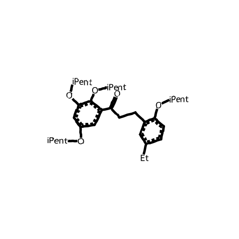 CCCC(C)Oc1cc(OC(C)CCC)c(OC(C)CCC)c(C(=O)CCc2cc(CC)ccc2OC(C)CCC)c1